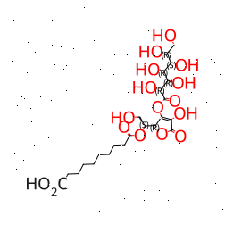 O=C(O)CCCCCCCCC(=O)O[C@@H](CO)[C@H]1OC(=O)C(O)=C1OC(=O)[C@H](O)[C@H](O)[C@H](O)[C@@H](O)[C@H](O)CO